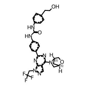 O=C(Nc1ccc(CCO)cc1)Nc1ccc(-c2nc(N3C[C@@H]4C[C@H]3CO4)c3cnn(CC(F)(F)F)c3n2)cc1